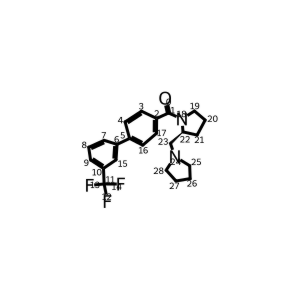 O=C(c1ccc(-c2cccc(C(F)(F)F)c2)cc1)N1CCC[C@H]1CN1CCCC1